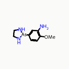 COc1ccc([As]2NCCN2)cc1N